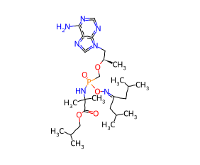 CC(C)COC(=O)C(C)(C)NP(=O)(CO[C@H](C)Cn1cnc2c(N)ncnc21)ON=C(CC(C)C)CC(C)C